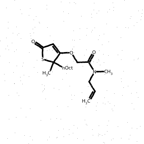 C=CCN(C)C(=O)COC1=CC(=O)SC1(C)CCCCCCCC